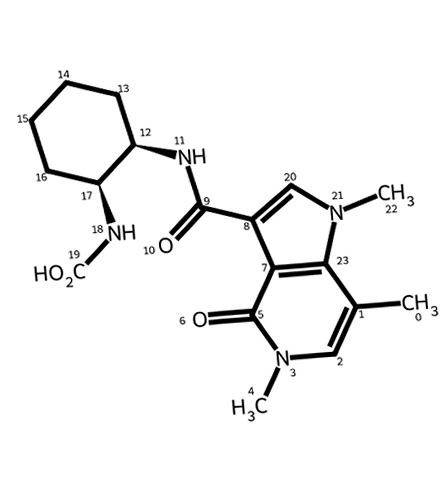 Cc1cn(C)c(=O)c2c(C(=O)N[C@@H]3CCCC[C@@H]3NC(=O)O)cn(C)c12